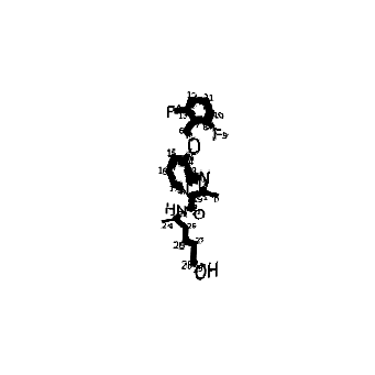 Cc1nc2c(OCc3c(F)cccc3F)cccn2c1C(=O)N[C@H](C)CCCCO